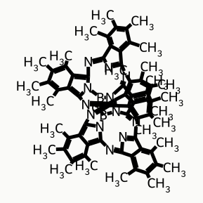 Cc1c(C)c(C)c2c(c1C)C1=NC/2=N\c2c3c(C)c(C)c(C)c(C)c3c3n2B(OB2n4c5c6c(C)c(C)c(C)c(C)c6c4/N=C4N=C(/N=c6/c7c(C)c(C)c(C)c(C)c7c(n62)=N5)c2c(C)c(C)c(C)c(C)c2\4)n2c(c4c(C)c(C)c(C)c(C)c4/c2=N/1)=N3